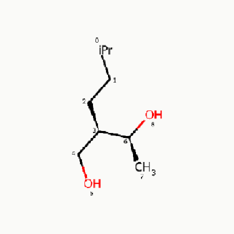 CC(C)CC[C@H](CO)[C@H](C)O